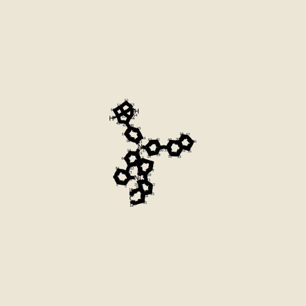 c1ccc(-n2c3ccccc3c3ccc4ccccc4c32)c(-c2ccc(N(c3ccc(-c4ccc5ccccc5c4)cc3)c3ccc(C45C[C@@H]6CC7C[C@@H](C4)C76C5)cc3)cc2)c1